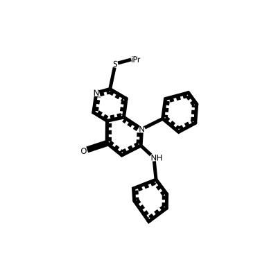 CC(C)Sc1cc2c(cn1)c(=O)cc(Nc1ccccc1)n2-c1ccccc1